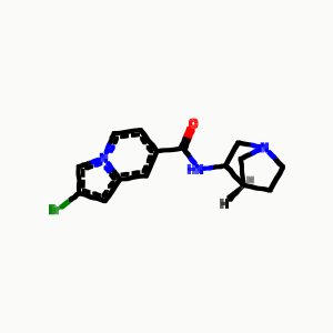 O=C(NC1CN2CC[C@H]1C2)c1ccn2cc(Br)cc2c1